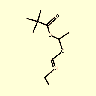 CC[SH]=COC(C)OC(=O)C(C)(C)C